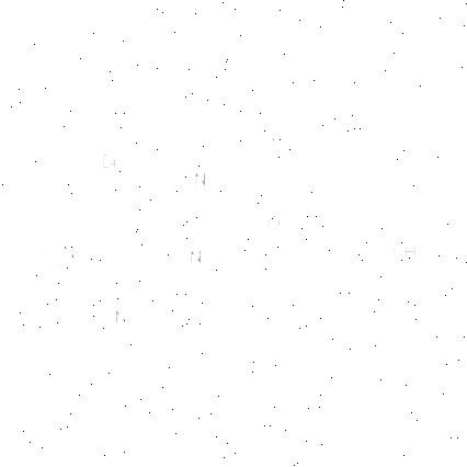 CCC1(C(=O)Oc2nc(Br)c3c(N)nccn23)CC1